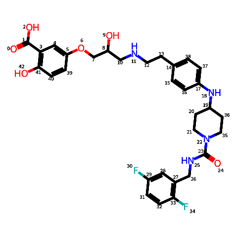 O=C(O)c1cc(OCC(O)CNCCc2ccc(NC3CCN(C(=O)NCc4cc(F)ccc4F)CC3)cc2)ccc1O